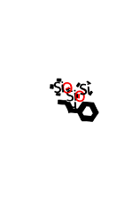 CC(=Cc1ccccc1)[SiH](O[Si](C)(C)C)O[Si](C)(C)C